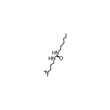 CCCCCCNC(=O)NCCCN(C)C